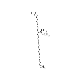 CCCCCCCCCCCCCCCCC(CCCCCCCCC)N(C)CC